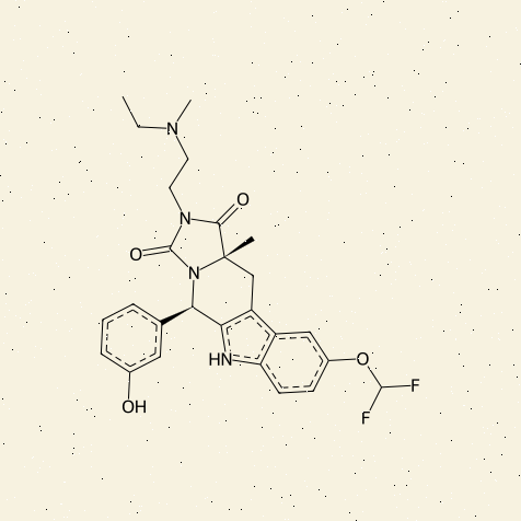 CCN(C)CCN1C(=O)N2[C@H](c3cccc(O)c3)c3[nH]c4ccc(OC(F)F)cc4c3C[C@@]2(C)C1=O